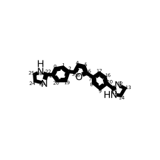 c1cc(-c2ccc(-c3ccc(C4=NCCN4)cc3)o2)ccc1C1=NCCN1